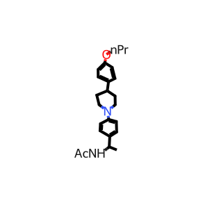 CCCOc1ccc(C2CCN(c3ccc(C(C)NC(C)=O)cc3)CC2)cc1